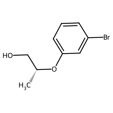 C[C@H](CO)Oc1cccc(Br)c1